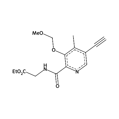 C#Cc1cnc(C(=O)NCC(=O)OCC)c(OCOC)c1C